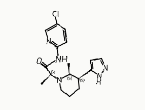 C[C@@H](C(=O)Nc1ccc(Cl)cn1)N1CCC[C@H](c2ccn[nH]2)[C@@H]1C